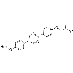 CCCCCCOc1ccc(-c2cnc(-c3ccc(OCC(F)CCC)cc3)nc2)cc1